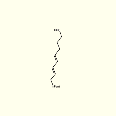 CCCCCCC=CC=CCCC[C]=O